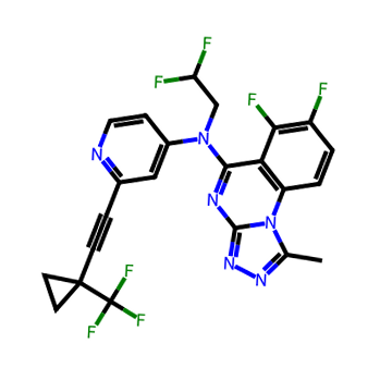 Cc1nnc2nc(N(CC(F)F)c3ccnc(C#CC4(C(F)(F)F)CC4)c3)c3c(F)c(F)ccc3n12